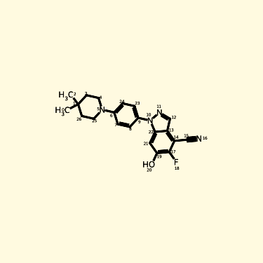 CC1(C)CCN(c2ccc(-n3ncc4c(C#N)c(F)c(O)cc43)cc2)CC1